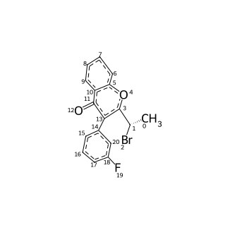 C[C@H](Br)c1oc2ccccc2c(=O)c1-c1cccc(F)c1